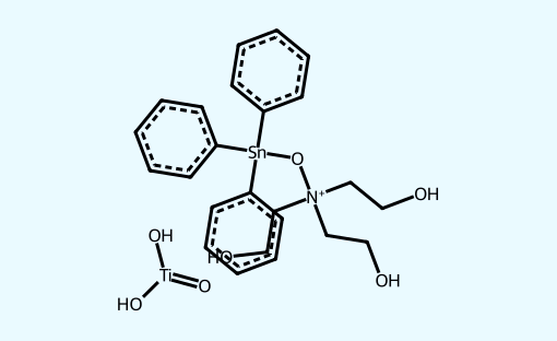 OCC[N+](CCO)(CCO)[O][Sn]([c]1ccccc1)([c]1ccccc1)[c]1ccccc1.[O]=[Ti]([OH])[OH]